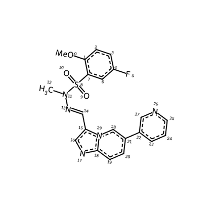 COc1ccc(F)cc1S(=O)(=O)N(C)N=Cc1cnc2ccc(-c3cccnc3)cn12